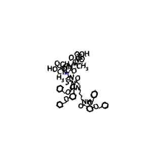 C[C@@H]1[C@H](NC(=O)/C(=N\OC(C)(C)C(=O)O)c2csc(NC(=O)CN(CCCCNC(=O)c3cccc(OCc4ccccc4)c3OCc3ccccc3)C(=O)c3cccc(OCc4ccccc4)c3OCc3ccccc3)n2)C(=O)N1S(=O)(=O)O